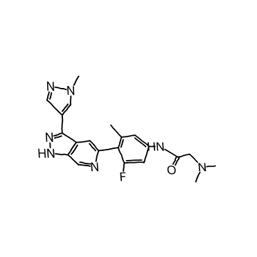 Cc1cc(NC(=O)CN(C)C)cc(F)c1-c1cc2c(-c3cnn(C)c3)n[nH]c2cn1